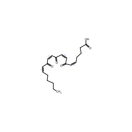 CCCCC/C=C\C(=O)/C=C\C(=O)/C=C\C(=O)/C=C\CCCC(=O)O